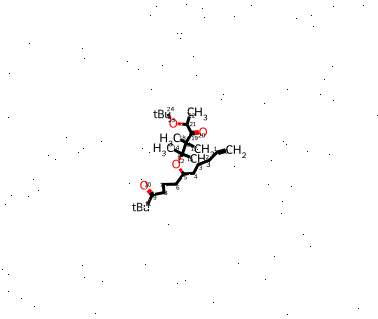 C=CCCCC(CCCC(=O)C(C)(C)C)OC(C)(C)C(C)(C)C(=O)C(C)OC(C)(C)C